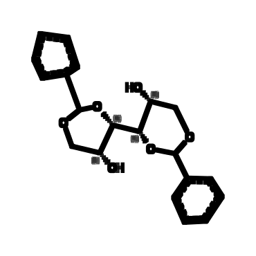 O[C@@H]1COC(c2ccccc2)O[C@@H]1[C@H]1OC(c2ccccc2)OC[C@H]1O